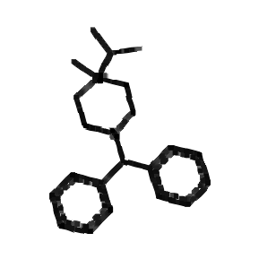 CC(C)[N+]1(C)CCN(C(c2ccccc2)c2ccccc2)CC1